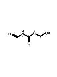 C=CNC(=O)OCC(C)CC